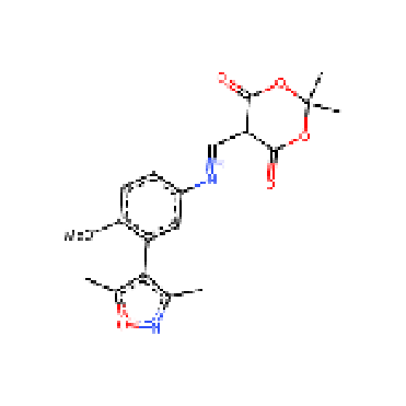 COc1ccc(/N=C/C2C(=O)OC(C)(C)OC2=O)cc1-c1c(C)noc1C